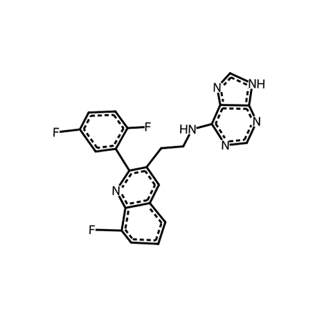 Fc1ccc(F)c(-c2nc3c(F)cccc3cc2CCNc2ncnc3[nH]cnc23)c1